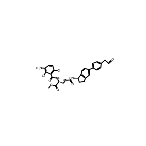 COC(=O)[C@H](CNC(=O)N[C@@H]1CCc2cc(-c3ccc(CC=O)cc3)ccc21)NC(=O)c1c(Cl)ccc(N)c1Cl